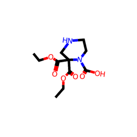 CCOC(=O)C1(C(=O)OCC)CNCCN1C(=O)O